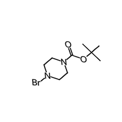 CC(C)(C)OC(=O)N1CCN(Br)CC1